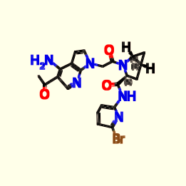 CC(=O)c1cnc2c(ccn2CC(=O)N2[C@@H]3C[C@@H]3C[C@H]2C(=O)Nc2cccc(Br)n2)c1N